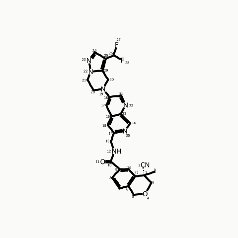 C[C@@]1(C#N)COCc2ccc(C(=O)NCc3cc4cc(N5CCn6ncc(C(F)F)c6C5)cnc4cn3)cc21